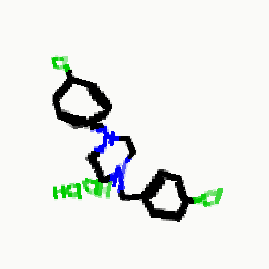 Cl.Cl.Clc1ccc(CN2CCN(c3ccc(Cl)cc3)CC2)cc1